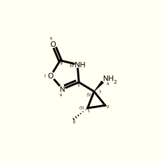 C[C@H]1C[C@@]1(N)c1noc(=O)[nH]1